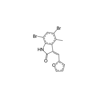 Cc1c(Br)cc(Br)c2c1C(=Cc1ccco1)C(=O)N2